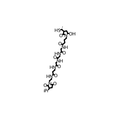 CC(C)C1CC(=O)N(CCNC(=O)CCNC(=O)CNC(=O)CNC(=O)CNC(=O)CCCN2C(=O)C([C@@H](C)S)CC2O)C1=O